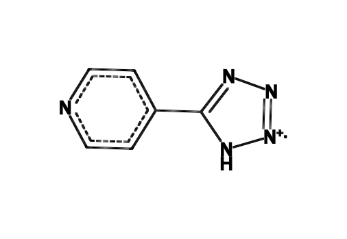 c1cc(C2=NN=[N+]N2)ccn1